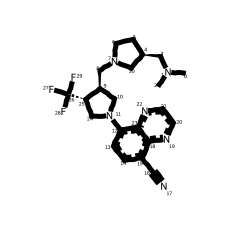 CN(C)C[C@@H]1CCN(C[C@H]2CN(c3ccc(C#N)c4nccnc34)C[C@@H]2C(F)(F)F)C1